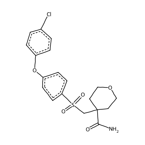 NC(=O)C1(CS(=O)(=O)c2ccc(Oc3ccc(Cl)cc3)cc2)CCOCC1